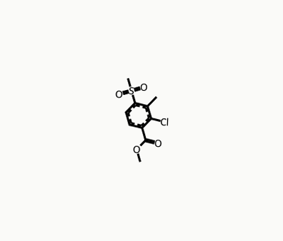 COC(=O)c1ccc(S(C)(=O)=O)c(C)c1Cl